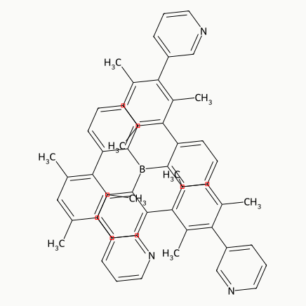 Cc1cc(C)c(-c2ccccc2B(c2ccccc2-c2c(C)cc(C)c(-c3cccnc3)c2C)c2ccccc2-c2c(C)cc(C)c(-c3cccnc3)c2C)c(C)c1-c1cccnc1